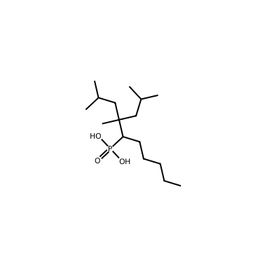 CCCCCC(C(C)(CC(C)C)CC(C)C)P(=O)(O)O